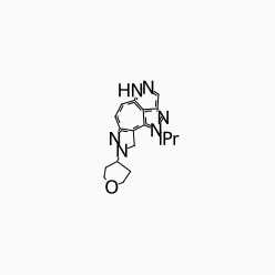 CC(C)n1nc2cn[nH]c3ccc4c(c1c2=3)CN(C1CCOCC1)N=4